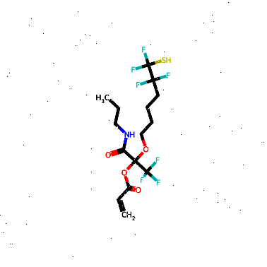 C=CC(=O)OC(OCCCCC(F)(F)C(F)(F)S)(C(=O)NCCC)C(F)(F)F